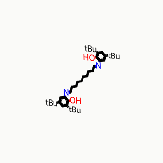 CC(C)(C)c1cc(/N=C/CCCCCCCC/C=N/c2cc(C(C)(C)C)cc(C(C)(C)C)c2O)c(O)c(C(C)(C)C)c1